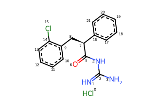 Cl.N=C(N)NC(=O)[C@@H](Cc1ccccc1Cl)c1ccccc1